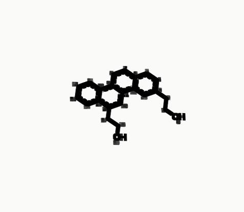 OCCc1ccc2ccc3c4ccccc4c(CCO)cc3c2c1